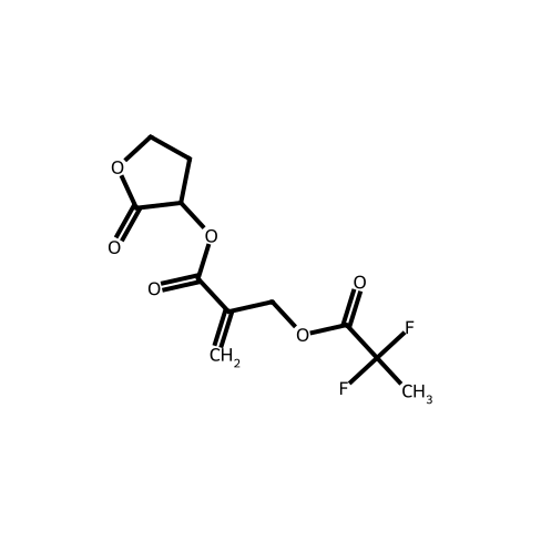 C=C(COC(=O)C(C)(F)F)C(=O)OC1CCOC1=O